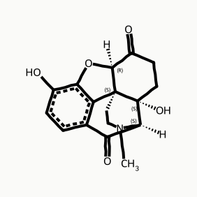 CN1CC[C@]23c4c5ccc(O)c4O[C@H]2C(=O)CC[C@@]3(O)[C@H]1C5=O